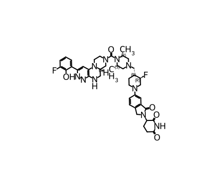 C[C@@H]1CN(C[C@H]2CCN(c3ccc4c(c3)C(=O)N(C3CCC(=O)NC3=O)C4)C[C@@H]2F)C[C@H](C)N1C(=O)N1CCN2c3cc(-c4cccc(F)c4O)nnc3NC[C@H]2C1